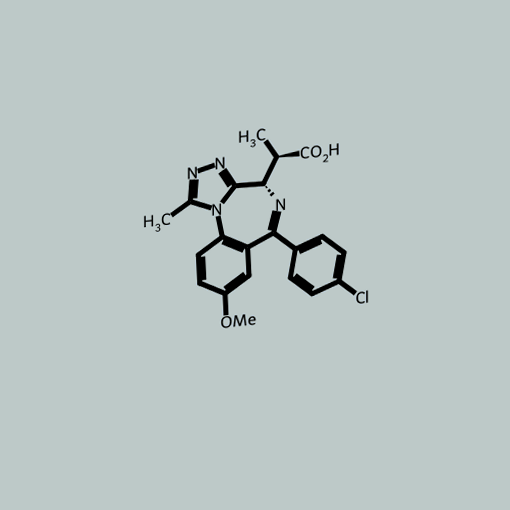 COc1ccc2c(c1)C(c1ccc(Cl)cc1)=N[C@@H]([C@@H](C)C(=O)O)c1nnc(C)n1-2